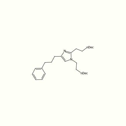 CCCCCCCCCCCCc1nc(CCCc2ccccc2)cn1CCCCCCCCCCCC